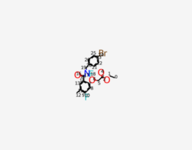 CCOC(=O)COc1cc(F)c(C)cc1C(=O)N(F)Cc1ccc(Br)cc1